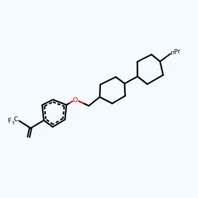 C=C(c1ccc(OCC2CCC(C3CCC(CCC)CC3)CC2)cc1)C(F)(F)F